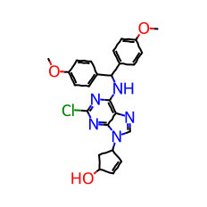 COc1ccc(C(Nc2nc(Cl)nc3c2ncn3C2C=CC(O)C2)c2ccc(OC)cc2)cc1